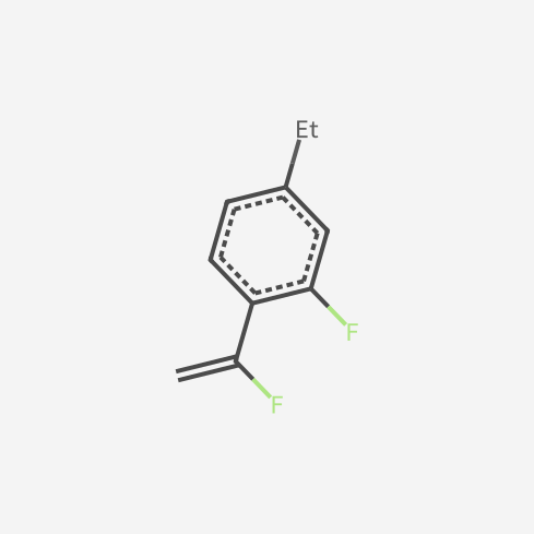 C=C(F)c1ccc(CC)cc1F